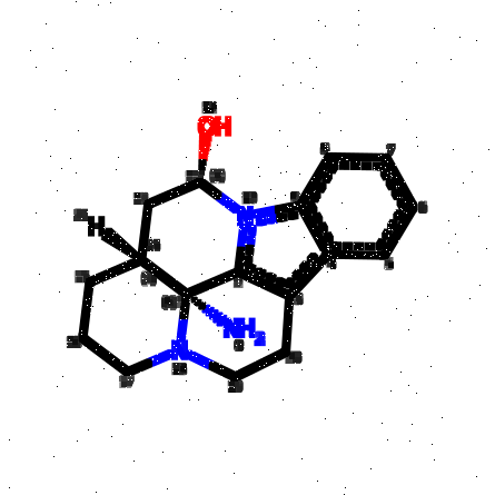 N[C@@]12c3c4c5ccccc5n3[C@@H](O)C[C@H]1CCCN2CC4